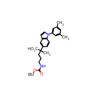 Cc1cc(C)cc(-n2ccc3cc(C(C)(CCCNC(=O)OC(C)(C)C)C(=O)O)ccc32)c1